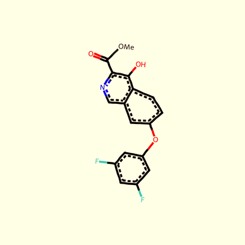 COC(=O)c1ncc2cc(Oc3cc(F)cc(F)c3)ccc2c1O